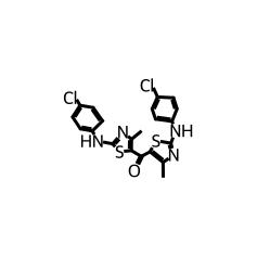 Cc1nc(Nc2ccc(Cl)cc2)sc1C(=O)c1sc(Nc2ccc(Cl)cc2)nc1C